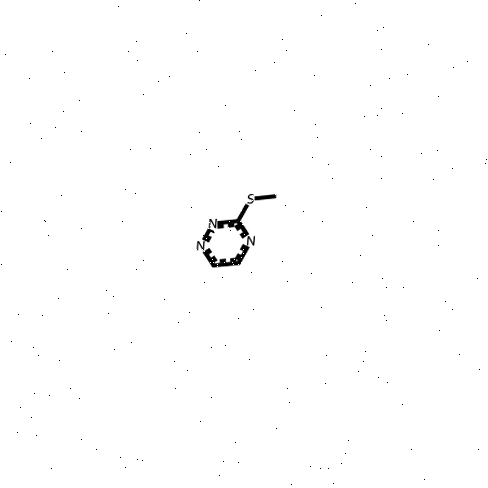 CSc1nccnn1